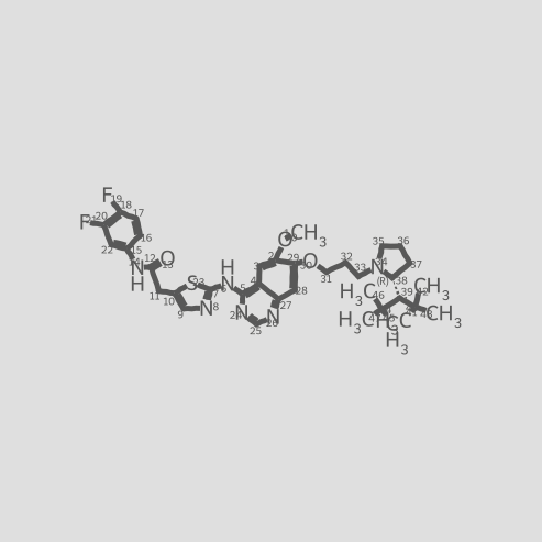 COc1cc2c(Nc3ncc(CC(=O)Nc4ccc(F)c(F)c4)s3)ncnc2cc1OCCCN1CCC[C@@H]1[C](C(C)(C)C)C(C)(C)C